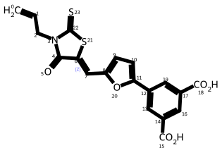 C=CCN1C(=O)/C(=C/c2ccc(-c3cc(C(=O)O)cc(C(=O)O)c3)o2)SC1=S